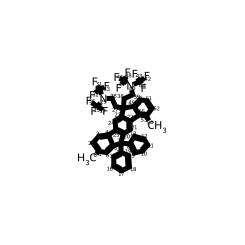 Cc1ccc2c(c1)C(c1ccccc1)(c1ccccc1)c1cc3c(cc1-2)C(CCN(C(F)(F)F)C(F)(F)F)(CCN(C(F)(F)F)C(F)(F)F)c1cccc(C)c1-3